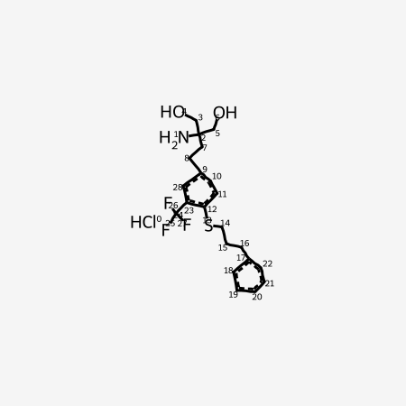 Cl.NC(CO)(CO)CCc1ccc(SCCCc2ccccc2)c(C(F)(F)F)c1